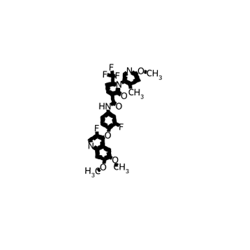 COc1cc(C)c(-n2c(C(F)(F)F)ccc(C(=O)Nc3ccc(Oc4c(F)cnc5cc(OC)c(OC)cc45)c(F)c3)c2=O)cn1